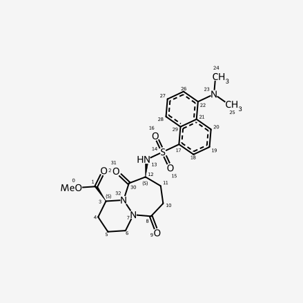 COC(=O)[C@@H]1CCCN2C(=O)CC[C@H](NS(=O)(=O)c3cccc4c(N(C)C)cccc34)C(=O)N12